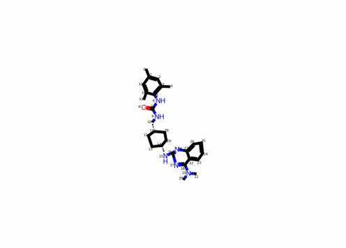 Cc1cc(C)c(NC(=O)NC[C@H]2CC[C@@H](Nc3nc(N(C)C)c4ccccc4n3)CC2)c(C)c1